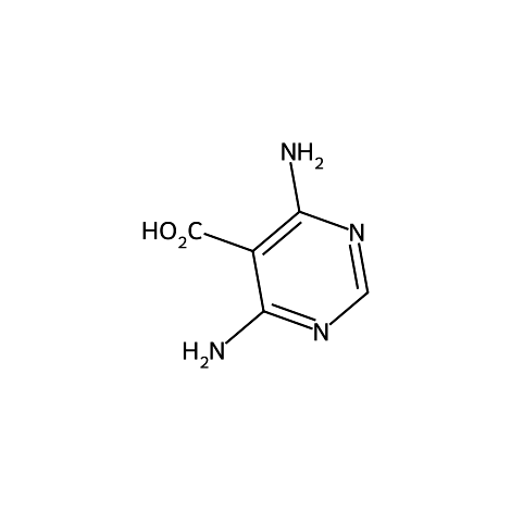 Nc1ncnc(N)c1C(=O)O